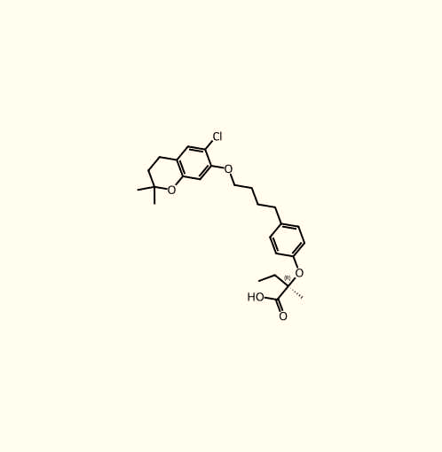 CC[C@@](C)(Oc1ccc(CCCCOc2cc3c(cc2Cl)CCC(C)(C)O3)cc1)C(=O)O